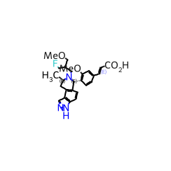 COCC(CF)CN1[C@H](c2ccc(/C=C/C(=O)O)cc2OC)c2ccc3[nH]ncc3c2C[C@H]1C